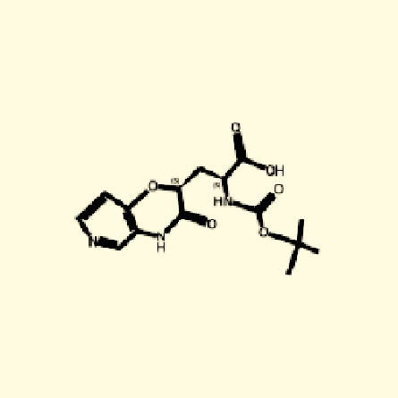 CC(C)(C)OC(=O)N[C@@H](C[C@@H]1Oc2ccncc2NC1=O)C(=O)O